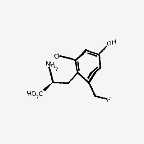 N[C@@H](Cc1c(Cl)cc(O)cc1CF)C(=O)O